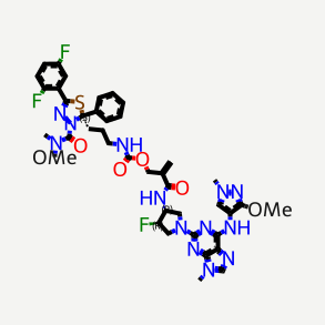 C=C(COC(=O)NCCC[C@@]1(c2ccccc2)SC(c2cc(F)ccc2F)=NN1C(=O)N(C)OC)C(=O)N[C@@H]1CN(c2nc(Nc3cn(C)nc3OC)c3ncn(C)c3n2)C[C@H]1F